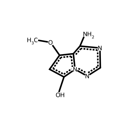 COc1cc(O)n2ncnc(N)c12